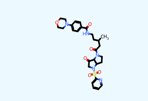 CC(CCNC(=O)c1ccc(N2CCOCC2)cc1)CC(=O)N1CCC2C1C(=O)CN2S(=O)(=O)c1ccccn1